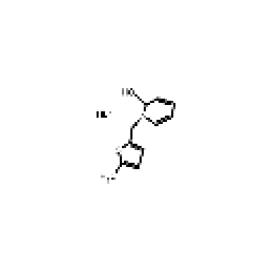 Br.Cc1ccc(CN2C=CC=CC2O)s1